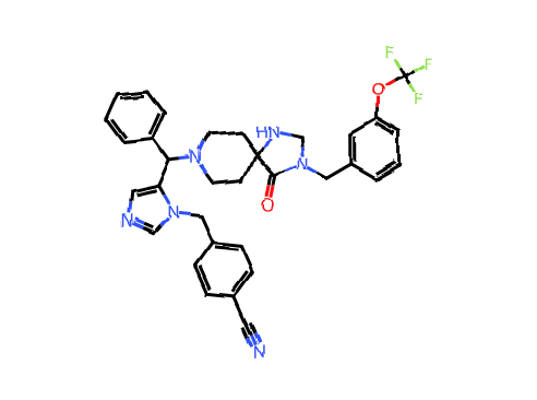 N#Cc1ccc(Cn2cncc2C(c2ccccc2)N2CCC3(CC2)NCN(Cc2cccc(OC(F)(F)F)c2)C3=O)cc1